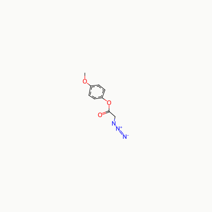 COc1ccc(OC(=O)CN=[N+]=[N-])cc1